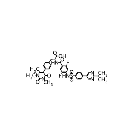 Cc1c(-c2ccc(C[C@H](NC(=O)c3cc(F)c(NS(=O)(=O)c4ccc(-c5cnc(C(C)C)nc5)cc4)cc3F)C(=O)O)cc2)c(=O)n(C)c(=O)n1C